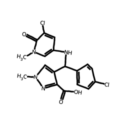 Cn1cc(C(Nc2cc(Cl)c(=O)n(C)c2)c2ccc(Cl)cc2)c(C(=O)O)n1